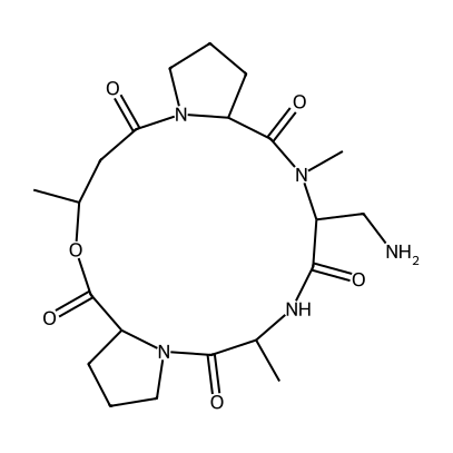 CC1CC(=O)N2CCCC2C(=O)N(C)C(CN)C(=O)NC(C)C(=O)N2CCCC2C(=O)O1